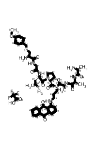 COc1ccc(CSC[C@H](N)C(=O)NCC(=O)N[C@@H](CC(C)C)C(=O)N2CCC[C@H]2C(=O)N(CCCNc2cccc3c2C(=O)c2ccccc2C3=O)C(=O)[C@H](C)NC(=O)[C@H](C)NC(=O)[C@@H](C)N)cc1.O=C(O)C(F)(F)F